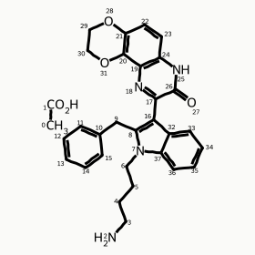 CC(=O)O.NCCCCn1c(Cc2ccccc2)c(-c2nc3c4c(ccc3[nH]c2=O)OCCO4)c2ccccc21